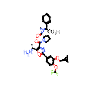 C[C@H](N)c1oc(-c2ccc(OC(F)F)c(OCC3CC3)c2)nc1C(=O)N1CCC[C@H]1C(=O)N(C)[C@H](C(=O)O)c1ccccc1